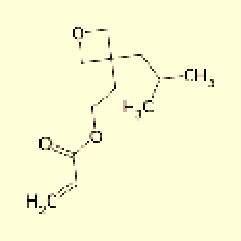 C=CC(=O)OCCC1(CC(C)C)COC1